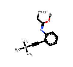 CCOC(=O)C/C(=N/c1ccccc1C#C[Si](C)(C)C)OCC